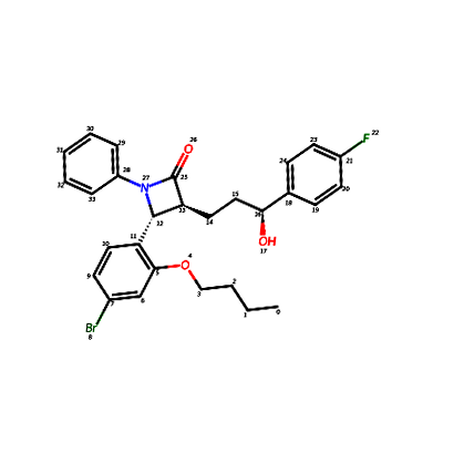 CCCCOc1cc(Br)ccc1[C@H]1[C@H](CC[C@H](O)c2ccc(F)cc2)C(=O)N1c1ccccc1